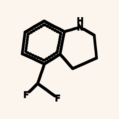 FC(F)c1cccc2c1CCCN2